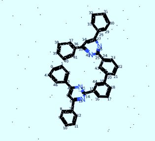 c1ccc(-c2cc(-c3ccccc3)nc(-c3cccc(-c4cccc(-c5nc(-c6ccccc6)cc(-c6ccccc6)n5)c4)c3)n2)cc1